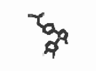 Cc1ccc(-c2ccc(CS(=O)O)cc2)n1-c1ccc(F)c(F)c1